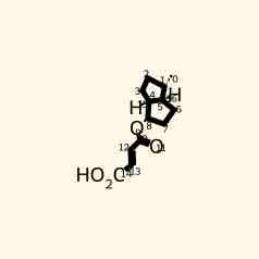 C[C@H]1CC[C@H]2[C@@H]1CC[C@@H]2OC(=O)C=CC(=O)O